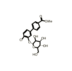 COC(=O)c1ccc(-c2ccc(Cl)c(O[C@H]3OC(CO)[C@@H](O)[C@H](O)C3O)c2)cc1